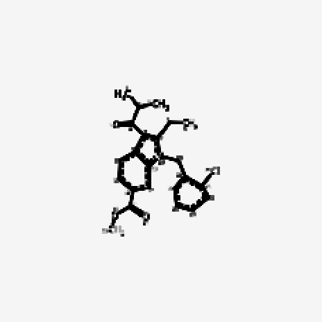 CCc1c(C(=O)C(C)C)c2ccc(C(=O)OC)cc2n1Cc1ccccc1Cl